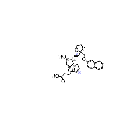 O=C(O)CCC/C=C\C[C@@H]1[C@@H](/C=C/C2(COc3ccc4ccccc4c3)OCCO2)[C@H](O)C[C@@H]1O